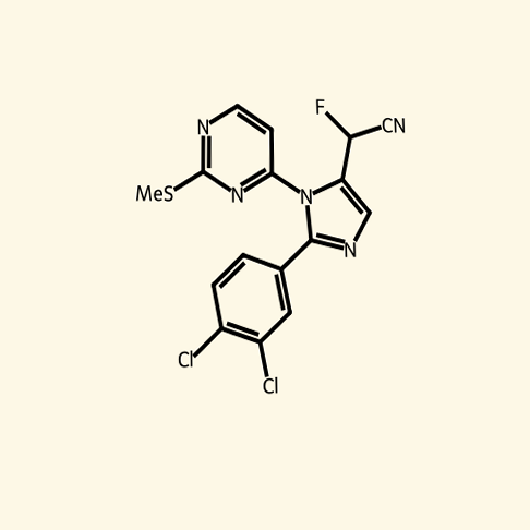 CSc1nccc(-n2c(C(F)C#N)cnc2-c2ccc(Cl)c(Cl)c2)n1